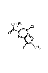 CCOC(=O)C(=O)c1cc(Cl)n2nc(C)c(I)c2n1